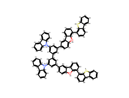 c1ccc2c(c1)sc1c(-c3cccc4c3oc3ccc(-c5cc(-c6cc(-c7ccc8oc9c(-c%10cccc%11c%10sc%10ccccc%10%11)cccc9c8c7)cc(-n7c8ccccc8c8ccccc87)c6)cc(-n6c7ccccc7c7ccccc76)c5)cc34)cccc12